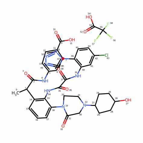 CC(C(=O)Nc1ccc(C(=O)O)cc1)c1cccc(N2CCN(C3CCC(O)CC3)CC2=O)c1NC(=O)C(=O)Nc1cc(Cl)ccc1-n1cnnn1.O=C(O)C(F)(F)F